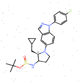 CC(C)(C)OS(=O)NC1CCN(c2ccc3c(cnn3-c3ccc(F)cc3)c2)[C@@H]1CC1CC1